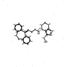 CCOc1noc2c1[C@H](NCCC=C1c3ccccc3CCc3ccccc31)CCC2